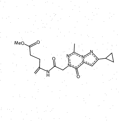 C=C(CCC(=O)OC)NC(=O)Cn1nc(C)n2nc(C3CC3)cc2c1=O